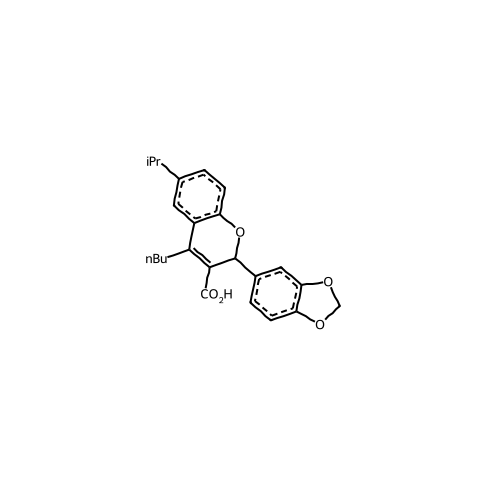 CCCCC1=C(C(=O)O)C(c2ccc3c(c2)OCO3)Oc2ccc(C(C)C)cc21